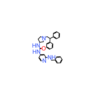 O=C(Nc1ccnc(NCc2ccccc2)c1)N[C@H]1CCN(CC(c2ccccc2)c2ccccc2)C1